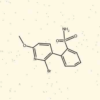 COc1ccc(-c2ccccc2S(N)(=O)=O)c(Br)n1